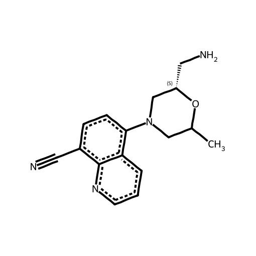 CC1CN(c2ccc(C#N)c3ncccc23)C[C@H](CN)O1